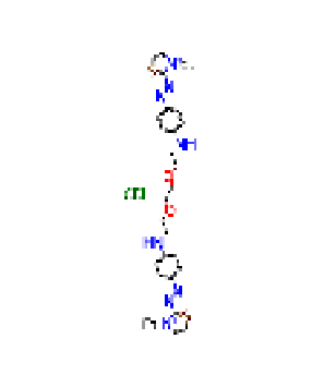 CC[n+]1ccsc1/N=N/c1ccc(NCCOCCOCCNc2ccc(/N=N/c3scc[n+]3CC)cc2)cc1.[Cl-].[Cl-]